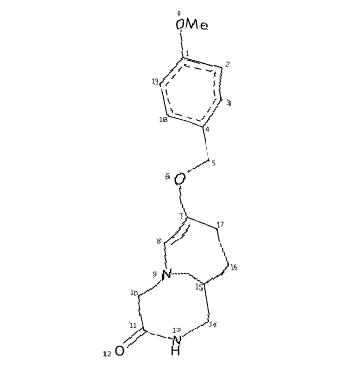 COc1ccc(COC2=CN3CC(=O)NCC3CC2)cc1